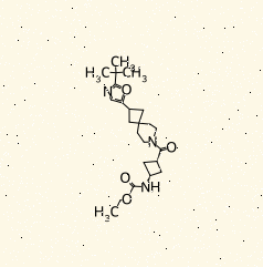 CCOC(=O)N[C@H]1C[C@@H](C(=O)N2CCC3(CC2)CC(c2cnc(C(C)(C)C)o2)C3)C1